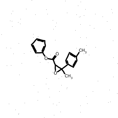 Cc1ccc(C2(C)OC2C(=O)Oc2ccccc2)cc1